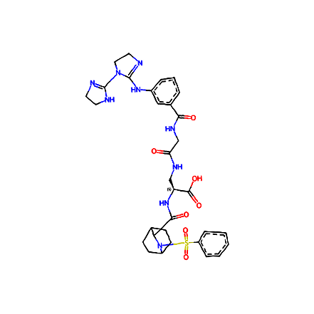 O=C(CNC(=O)c1cccc(NC2=NCCN2C2=NCCN2)c1)NC[C@H](NC(=O)C1C2CCC(CC2)N1S(=O)(=O)c1ccccc1)C(=O)O